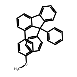 COc1ccc(-c2cccc3c2C(c2ccccc2)(c2ccccc2)c2ccccc2-3)cc1